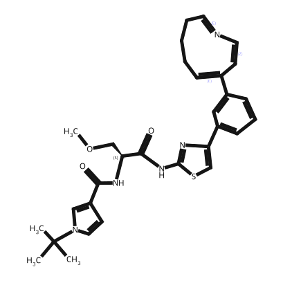 COC[C@H](NC(=O)c1ccn(C(C)(C)C)c1)C(=O)Nc1nc(-c2cccc(C3=C/CCC/C=N/C=C\3)c2)cs1